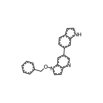 c1ccc(COn2ccc3ncc(-c4ccc5cc[nH]c5c4)cc32)cc1